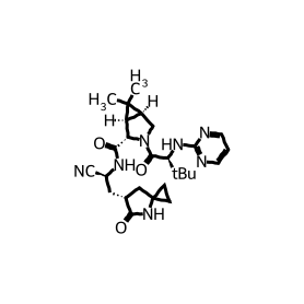 CC(C)(C)[C@H](Nc1ncccn1)C(=O)N1C[C@H]2[C@@H]([C@H]1C(=O)N[C@H](C#N)C[C@@H]1CC3(CC3)NC1=O)C2(C)C